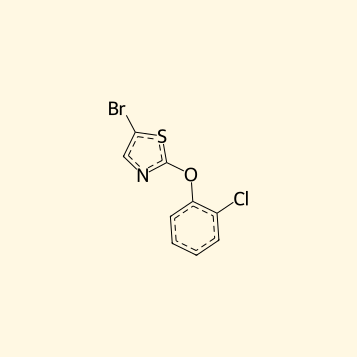 Clc1ccccc1Oc1ncc(Br)s1